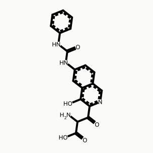 NC(C(=O)O)C(=O)c1ncc2ccc(NC(=O)Nc3ccccc3)cc2c1O